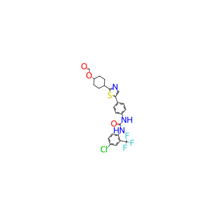 O=COC1CCC(c2ncc(-c3ccc(NC(=O)Nc4ccc(Cl)cc4C(F)(F)F)cc3)s2)CC1